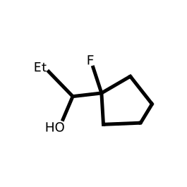 CCC(O)C1(F)CCCC1